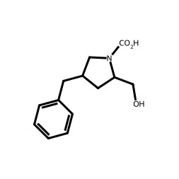 O=C(O)N1CC(Cc2ccccc2)CC1CO